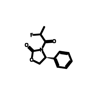 CC(F)C(=O)N1C(=O)OC[C@H]1c1ccccc1